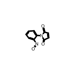 O=Nc1ccccc1N1C(=O)C=CC1=O